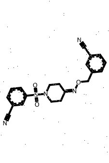 N#Cc1cccc(CON=C2CCN(S(=O)(=O)c3cccc(C#N)c3)CC2)c1